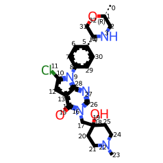 C[C@@H]1CN[C@H](c2ccc(-n3c(Cl)cc4c(=O)n(CC5(O)CCN(C)CC5)cnc43)cc2)CO1